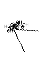 CCCCCCCCCCCCCCCCCCN(C(=O)CCCCCCCCCCCCCCCCC)[C@@H]1O[C@H](CO)[C@@H](O)[C@H](O)[C@H]1NC(=O)[C@H](CO)NC(=O)CCC(=O)O